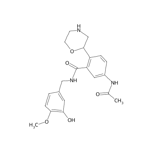 COc1ccc(CNC(=O)c2cc(NC(C)=O)ccc2C2CNCCO2)cc1O